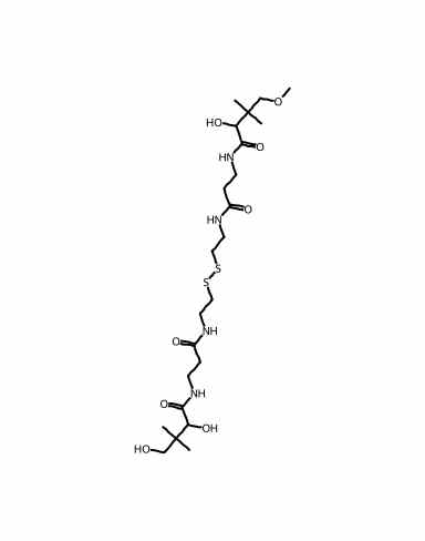 COCC(C)(C)C(O)C(=O)NCCC(=O)NCCSSCCNC(=O)CCNC(=O)C(O)C(C)(C)CO